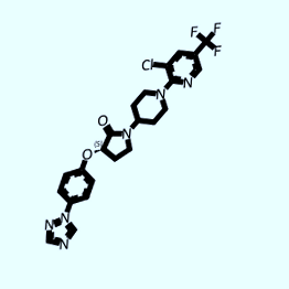 O=C1[C@@H](Oc2ccc(-n3cncn3)cc2)CCN1C1CCN(c2ncc(C(F)(F)F)cc2Cl)CC1